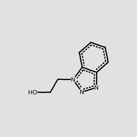 OCCn1nnc2ccccc21